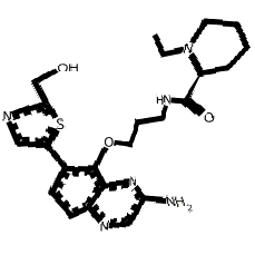 CCN1CCCC[C@H]1C(=O)NCCCOc1c(-c2cnc(CO)s2)ccc2ncc(N)nc12